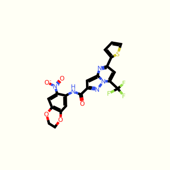 O=C(Nc1cc2c(cc1[N+](=O)[O-])OCCO2)c1cc2nc(-c3cccs3)cc(C(F)(F)F)n2n1